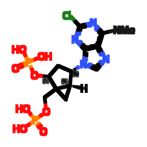 CNc1nc(Cl)nc2c1ncn2[C@H]1C[C@H](OP(=O)(O)O)C2(COP(=O)(O)O)C[C@H]12